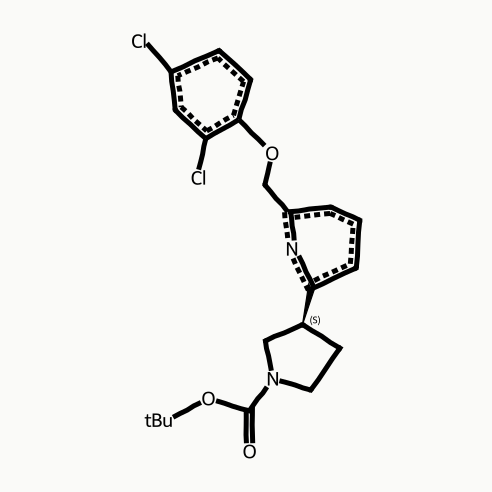 CC(C)(C)OC(=O)N1CC[C@H](c2cccc(COc3ccc(Cl)cc3Cl)n2)C1